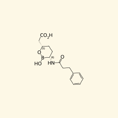 O=C(O)C[C@@H]1CC[C@H](NC(=O)CCc2ccccc2)B(O)O1